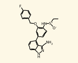 CC[S+]([O-])Nc1ccc(-c2cccc3[nH]nc(N)c23)cc1OCc1ccc(F)cc1